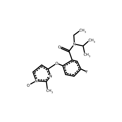 CCN(C(=O)c1cc(F)ccc1Oc1cc[n+]([O-])c(C)n1)C(C)C